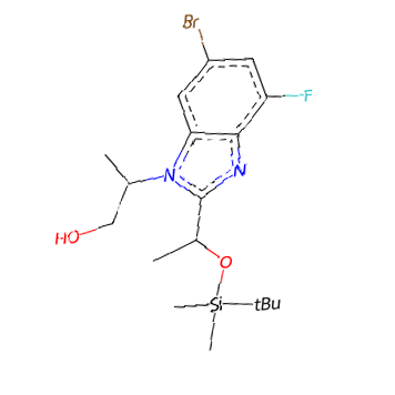 CC(O[Si](C)(C)C(C)(C)C)c1nc2c(F)cc(Br)cc2n1C(C)CO